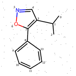 CC(C)c1cnoc1-c1ccccc1